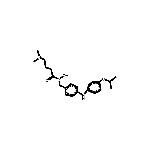 CC(C)Oc1ccc(Nc2ccc(CN(O)C(=O)CCCN(C)C)cc2)cc1